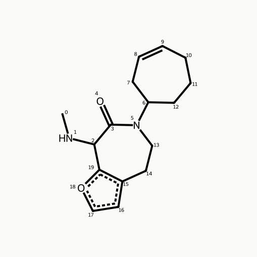 CNC1C(=O)N(C2CC=CCCC2)CCc2ccoc21